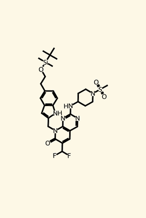 CC(C)(C)[Si](C)(C)OCCc1ccc2[nH]c(Cn3c(=O)c(C(F)F)cc4cnc(NC5CCN(S(C)(=O)=O)CC5)nc43)cc2c1